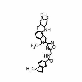 CN1CC[C@@H](Nc2cccc3c2cc(-c2noc(CNC(=O)c4ccc5c(ccn5C)c4)n2)n3CC(F)(F)F)[C@@H](F)C1